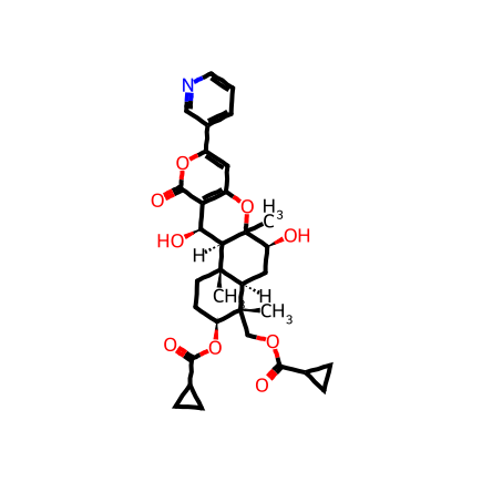 CC12Oc3cc(-c4cccnc4)oc(=O)c3[C@H](O)[C@@H]1[C@@]1(C)CC[C@H](OC(=O)C3CC3)[C@@](C)(COC(=O)C3CC3)[C@@H]1C[C@@H]2O